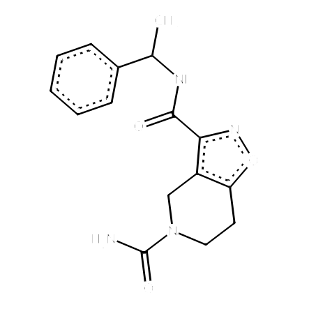 CC(NC(=O)c1noc2c1CN(C(N)=O)CC2)c1ccccc1